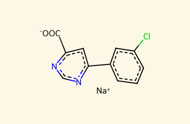 O=C([O-])c1cc(-c2cccc(Cl)c2)ncn1.[Na+]